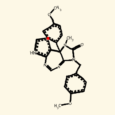 COc1ccc(CN2C(=O)N(C)C3(c4ccc(OC)cc4)C2=NC=Nc2[nH]cnc23)cc1